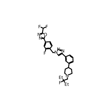 CCC(F)(CC)CN1CCC(c2cccc(-c3cn(Cc4ccc(-c5nnc(C(F)F)o5)cc4F)nn3)c2)CC1